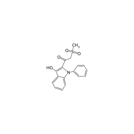 CS(=O)(=O)CC(=O)c1c(O)c2ccccc2n1-c1ccccc1